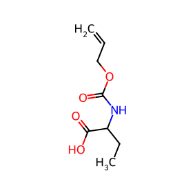 C=CCOC(=O)NC(CC)C(=O)O